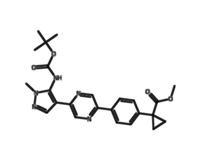 COC(=O)C1(c2ccc(-c3cnc(-c4cnn(C)c4NC(=O)OC(C)(C)C)cn3)cc2)CC1